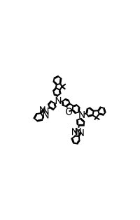 CC1(C)c2ccccc2-c2ccc(N(c3ccc(-n4nc5ccccc5n4)cc3)c3ccc4c(c3)oc3cc(N(c5ccc(-n6nc7ccccc7n6)cc5)c5ccc6c(c5)C(C)(C)c5ccccc5-6)ccc34)cc21